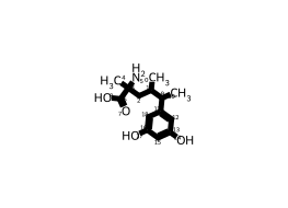 CC(CC(C)(N)C(=O)O)C(C)c1cc(O)cc(O)c1